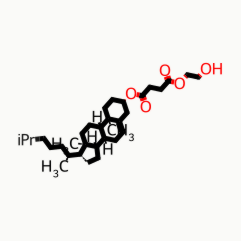 CC(C)CCC[C@@H](C)[C@H]1CC[C@H]2[C@@H]3CC=C4C[C@@H](OC(=O)CCC(=O)OCCO)CC[C@]4(C)[C@H]3CC[C@]12C